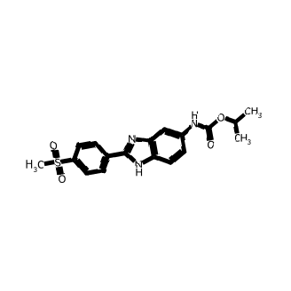 CC(C)OC(=O)Nc1ccc2[nH]c(-c3ccc(S(C)(=O)=O)cc3)nc2c1